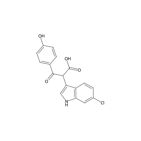 O=C(O)C(C(=O)c1ccc(O)cc1)c1c[nH]c2cc(Cl)ccc12